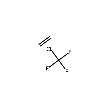 C=C.FC(F)(F)Cl